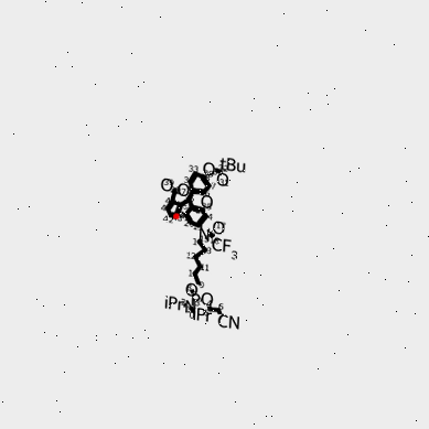 CC(C)N(C(C)C)P(OCCC#N)OCCCCCCN(C(=O)C(F)(F)F)c1ccc2c(c1)Oc1cc(OC(=O)C(C)(C)C)ccc1C21OC(=O)c2ccccc21